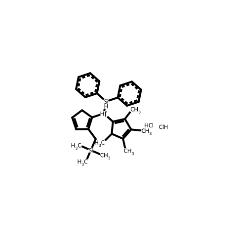 CC1=C(C)C(C)[C]([Hf]([C]2=C(C[Si](C)(C)C)C=CC2)[SiH](c2ccccc2)c2ccccc2)=C1C.Cl.Cl